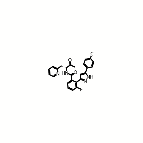 CC(=O)[C@@H](Cc1ccccn1)NC(=O)c1cccc(F)c1-c1cc(-c2ccc(Cl)cc2)[nH]n1